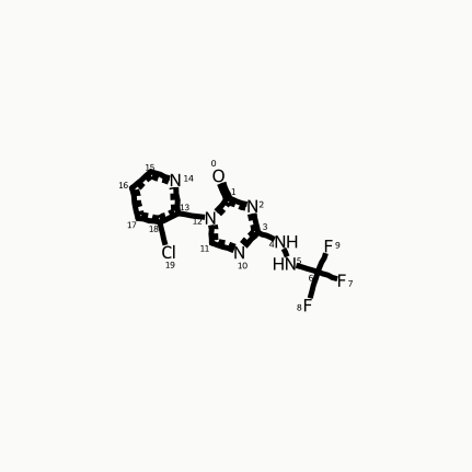 O=c1nc(NNC(F)(F)F)ncn1-c1ncccc1Cl